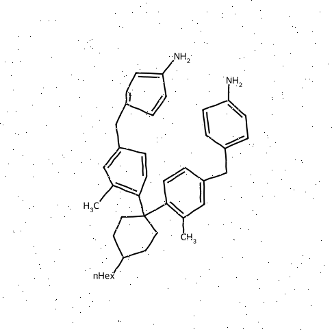 CCCCCCC1CCC(c2ccc(Cc3ccc(N)cc3)cc2C)(c2ccc(Cc3ccc(N)cc3)cc2C)CC1